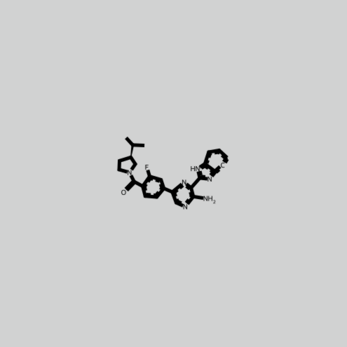 CC(C)[C@@H]1CCN(C(=O)c2ccc(-c3cnc(N)c(-c4nc5ccccc5[nH]4)n3)cc2F)C1